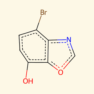 Oc1ccc(Br)c2ncoc12